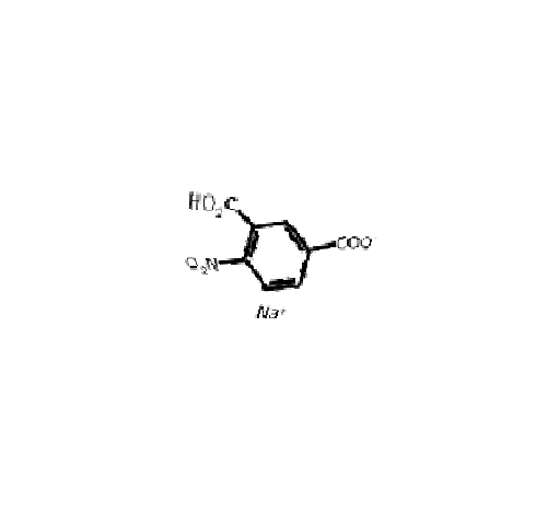 O=C([O-])c1ccc([N+](=O)[O-])c(C(=O)O)c1.[Na+]